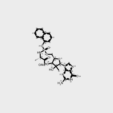 COC(=O)[C@H](C)NP(=O)(OC[C@H]1O[C@@H](n2cnc3c(=O)[nH]c(N)nc32)C(C)(O)C1O)Oc1cccc2ccccc12